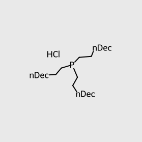 CCCCCCCCCCCCP(CCCCCCCCCCCC)CCCCCCCCCCCC.Cl